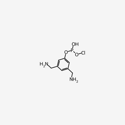 NCc1cc(CN)cc(OP(O)OCl)c1